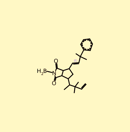 BN1C(=O)C2C(/C=C/C(C)(C)c3ccccc3)CC(C(C)C(C)(C)C=C)C2C1=O